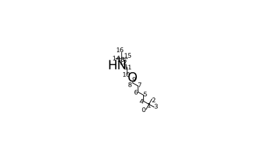 CC(C)(C)CCCCCOCCNC(C)(C)C